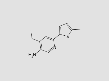 CCc1cc(-c2ccc(C)s2)ncc1N